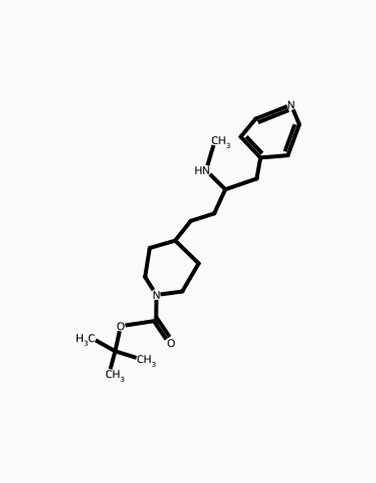 CNC(CCC1CCN(C(=O)OC(C)(C)C)CC1)Cc1ccncc1